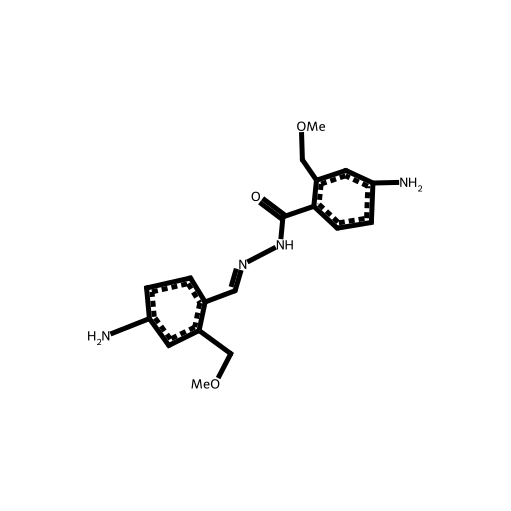 COCc1cc(N)ccc1/C=N/NC(=O)c1ccc(N)cc1COC